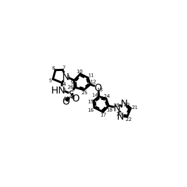 O=S1(=O)NC2CCCN2c2ccc(Oc3cccc(-n4nccn4)c3)cc21